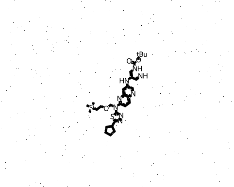 CC(C)(C)OC(=O)N/C=C(\C=N)Nc1cnc2ccc(N(COCC[Si](C)(C)C)c3nnc(C4CCCC4)s3)nc2c1